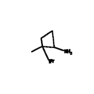 CC(C)C1(C)CCC1N